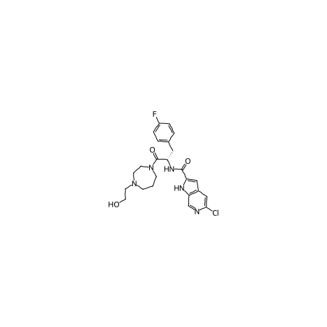 O=C(N[C@@H](Cc1ccc(F)cc1)C(=O)N1CCCN(CCO)CC1)c1cc2cc(Cl)ncc2[nH]1